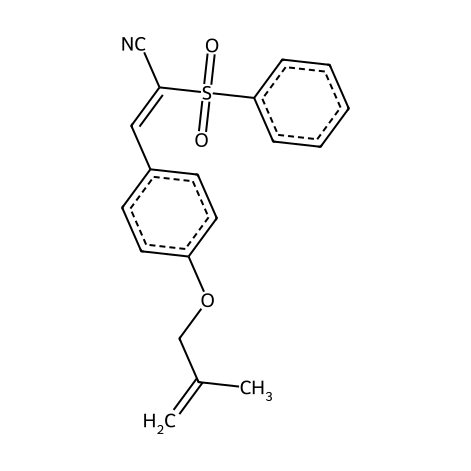 C=C(C)COc1ccc(C=C(C#N)S(=O)(=O)c2ccccc2)cc1